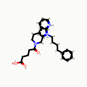 O=C(O)CCCC(=O)N1CCc2c(n(CCCCc3ccccc3)c3ncccc23)C1